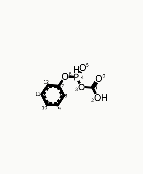 O=C(O)O[PH](=O)Oc1ccccc1